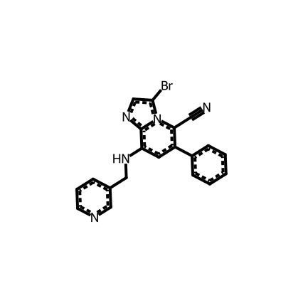 N#Cc1c(-c2ccccc2)cc(NCc2cccnc2)c2ncc(Br)n12